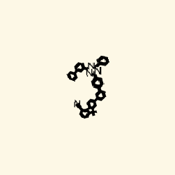 CC1(C)c2cc(-c3cccc(-c4ccc(-c5nc(-c6ccccc6)nc(-c6cccc(-c7ccccc7)c6)n5)cc4)c3)ccc2-c2c(C#N)cccc21